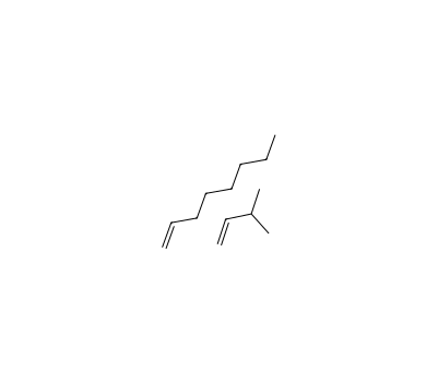 C=CC(C)C.C=CCCCCCC